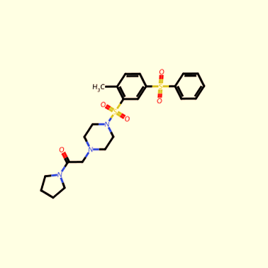 Cc1ccc(S(=O)(=O)c2ccccc2)cc1S(=O)(=O)N1CCN(CC(=O)N2CCCC2)CC1